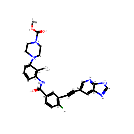 CC(C)(C)OC(=O)N1CCN(c2cccc(NC(=O)c3ccc(F)c(C#Cc4cnc5[nH]cnc5c4)c3)c2C(F)(F)F)CC1